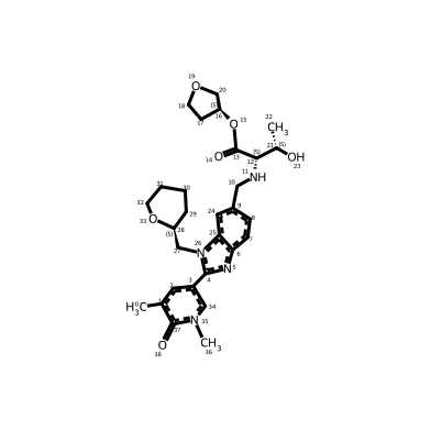 Cc1cc(-c2nc3ccc(CN[C@H](C(=O)O[C@H]4CCOC4)[C@H](C)O)cc3n2C[C@@H]2CCCCO2)cn(C)c1=O